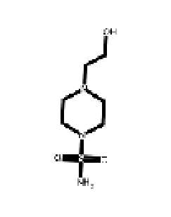 NS(=O)(=O)N1CCN(CCO)CC1